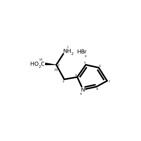 Br.N[C@@H](Cc1ccccn1)C(=O)O